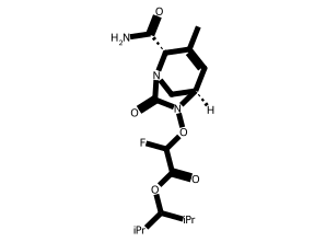 CC1=C[C@@H]2CN(C(=O)N2OC(F)C(=O)OC(C(C)C)C(C)C)[C@@H]1C(N)=O